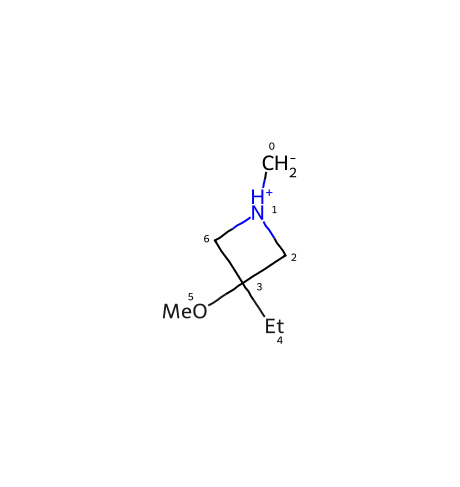 [CH2-][NH+]1CC(CC)(OC)C1